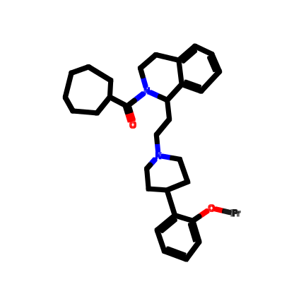 CC(C)Oc1ccccc1C1CCN(CCC2c3ccccc3CCN2C(=O)C2CCCCCC2)CC1